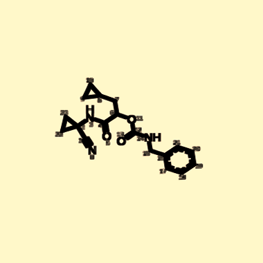 N#CC1(NC(=O)C(CC2CC2)OC(=O)NCc2ccccc2)CC1